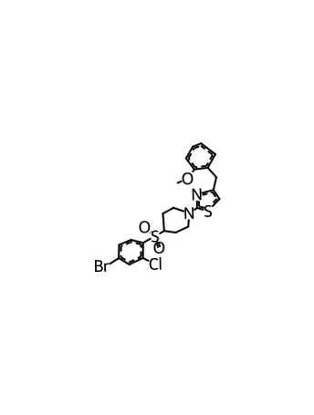 COc1ccccc1Cc1csc(N2CCC(S(=O)(=O)c3ccc(Br)cc3Cl)CC2)n1